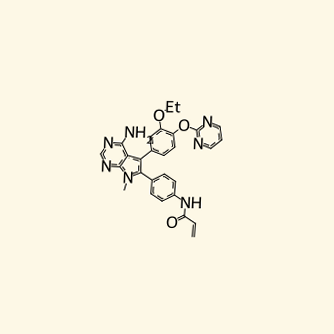 C=CC(=O)Nc1ccc(-c2c(-c3ccc(Oc4ncccn4)c(OCC)c3)c3c(N)ncnc3n2C)cc1